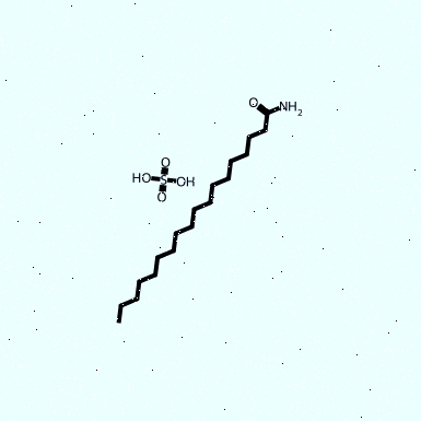 CCCCCCCCCCCCCCCCCC(N)=O.O=S(=O)(O)O